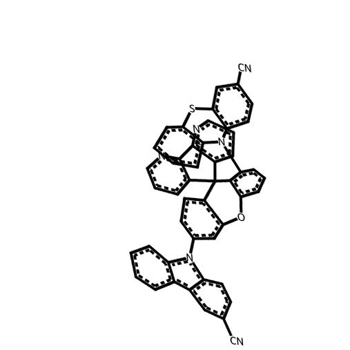 N#Cc1ccc2c(c1)Sc1ccccc1N2c1cccc2c1C1(c3ccc(-n4c5ccccc5c5cc(C#N)ccc54)cc3O2)c2cccnc2-c2ncccc21